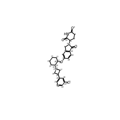 O=C1CCC(N2Cc3cc(O[C@@H]4CCCC[C@@H]4N4CC(c5cncc(Cl)c5)C4)ccc3C2=O)C(=O)N1